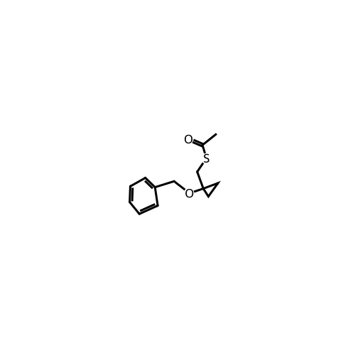 CC(=O)SCC1(OCc2ccccc2)CC1